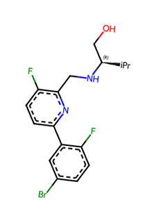 CC(C)[C@H](CO)NCc1nc(-c2cc(Br)ccc2F)ccc1F